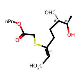 CCCOC(=O)CS/C(=C\C(=O)O)CC[C@H](C=O)[C@@H](C)O